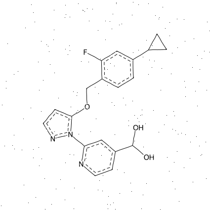 OC(O)c1ccnc(-n2nccc2OCc2ccc(C3CC3)cc2F)c1